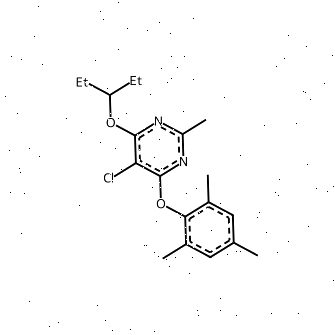 CCC(CC)Oc1nc(C)nc(Oc2c(C)cc(C)cc2C)c1Cl